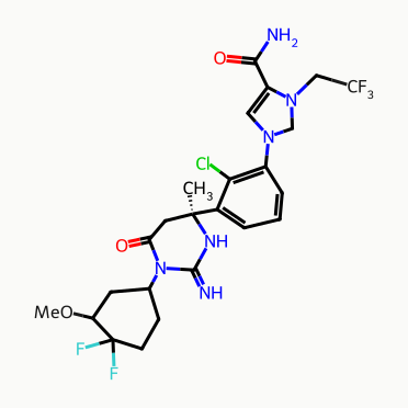 COC1CC(N2C(=N)N[C@](C)(c3cccc(N4C=C(C(N)=O)N(CC(F)(F)F)C4)c3Cl)CC2=O)CCC1(F)F